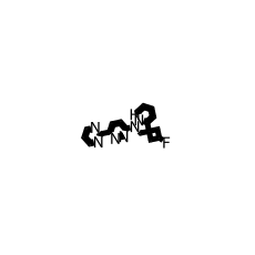 FC1CC(CNc2ccc(-c3ncccn3)nn2)(c2ccccn2)C1